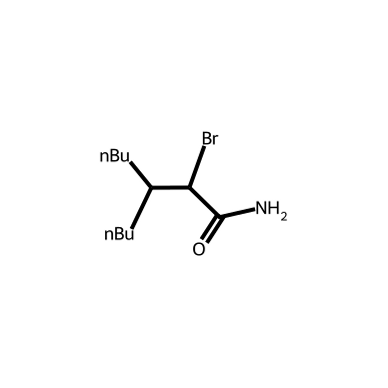 CCCCC(CCCC)C(Br)C(N)=O